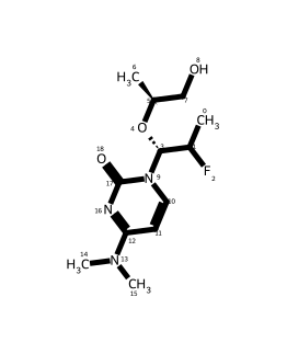 CC(F)[C@@H](O[C@@H](C)CO)n1ccc(N(C)C)nc1=O